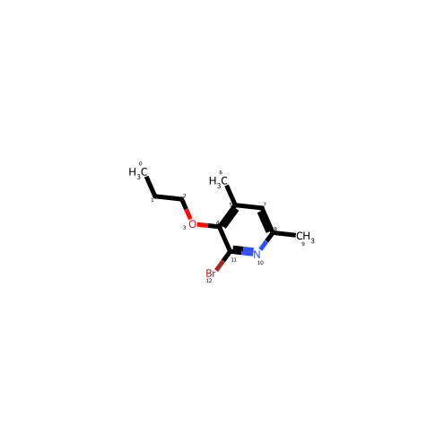 CCCOc1c(C)cc(C)nc1Br